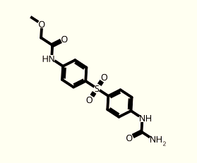 COCC(=O)Nc1ccc(S(=O)(=O)c2ccc(NC(N)=O)cc2)cc1